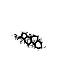 CC[C@]12CC[C@@H](C)C[C@@H]1CC[C@@H]1[C@@H]2CC[C@]2(C)/C(=N/O)CC[C@@H]12